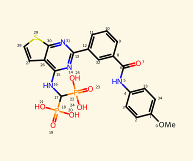 COc1ccc(NC(=O)c2cccc(-c3nc(NC(P(=O)(O)O)P(=O)(O)O)c4ccsc4n3)c2)cc1